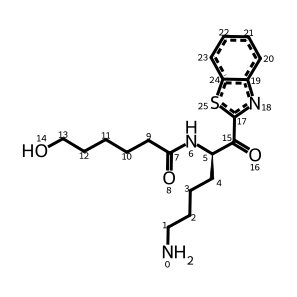 NCCCC[C@@H](NC(=O)CCCCCO)C(=O)c1nc2ccccc2s1